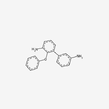 Nc1cccc(-c2cccc(N)c2Oc2ccccc2)c1